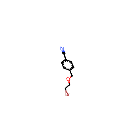 N#Cc1ccc(COCCBr)cc1